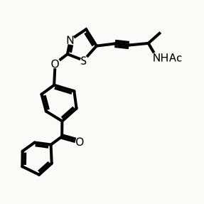 CC(=O)NC(C)C#Cc1cnc(Oc2ccc(C(=O)c3ccccc3)cc2)s1